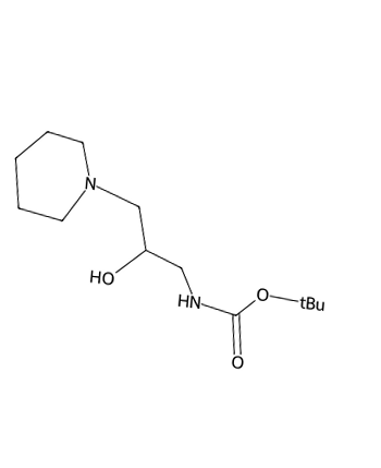 CC(C)(C)OC(=O)NCC(O)CN1CCCCC1